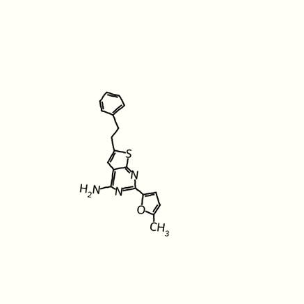 Cc1ccc(-c2nc(N)c3cc(CCc4ccccc4)sc3n2)o1